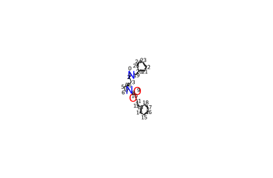 CN(CC[C@@H]1CCN1C(=O)OCCc1ccccc1)Cc1ccccc1